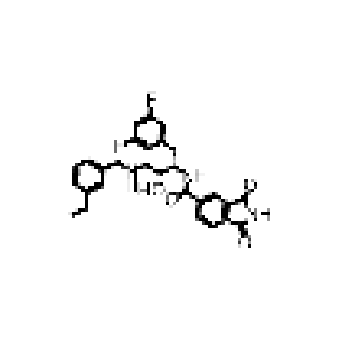 CCc1cccc(CNC[C@@H](O)[C@H](Cc2cc(F)cc(F)c2)NC(=O)c2ccc3c(c2)C(=O)NC3=O)c1